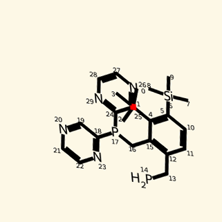 CC(C)(C)c1c([Si](C)(C)C)ccc(CP)c1CP(c1cnccn1)c1cnccn1